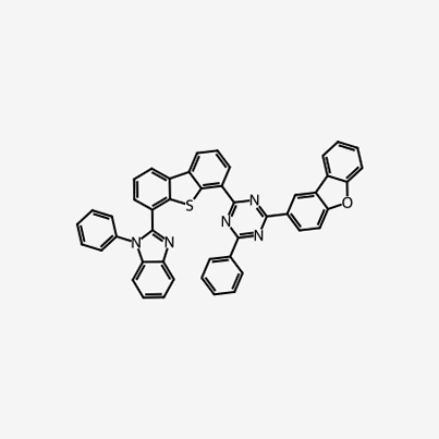 c1ccc(-c2nc(-c3ccc4oc5ccccc5c4c3)nc(-c3cccc4c3sc3c(-c5nc6ccccc6n5-c5ccccc5)cccc34)n2)cc1